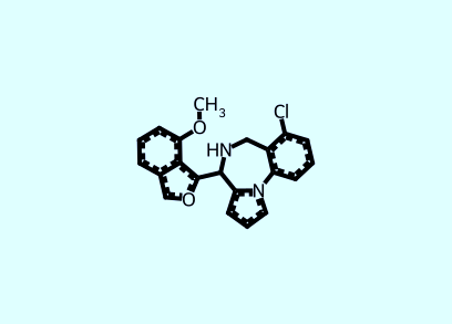 COc1cccc2coc(C3NCc4c(Cl)cccc4-n4cccc43)c12